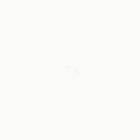 CCOC(=O)N1C=CN(C)C(=O)C1Cc1ccccc1